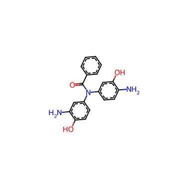 Nc1cc(N(C(=O)c2ccccc2)c2ccc(N)c(O)c2)ccc1O